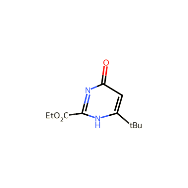 CCOC(=O)c1nc(=O)cc(C(C)(C)C)[nH]1